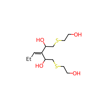 CCC=C(C(O)CSCCO)C(O)CSCCO